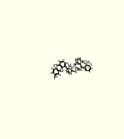 CC1CC=CC=C1/C(=N/OCc1nnc(-c2cccc(Cl)c2Oc2cccc(F)c2)o1)c1nnnn1C